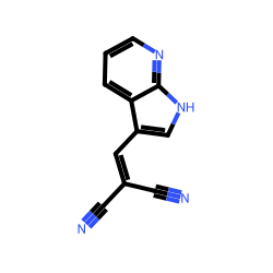 N#CC(C#N)=Cc1c[nH]c2ncccc12